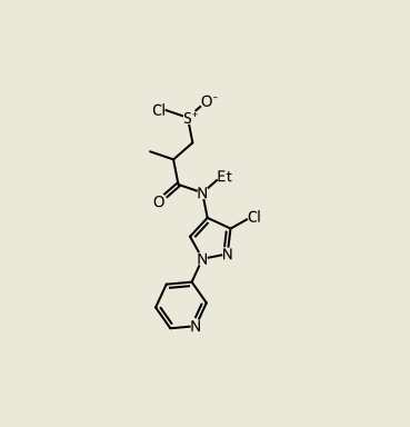 CCN(C(=O)C(C)C[S+]([O-])Cl)c1cn(-c2cccnc2)nc1Cl